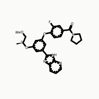 COC[C@H](C)Oc1cc(Oc2ccc(C(=O)N3CCCC3)cc2F)cc(-c2nc3cccnc3[nH]2)c1